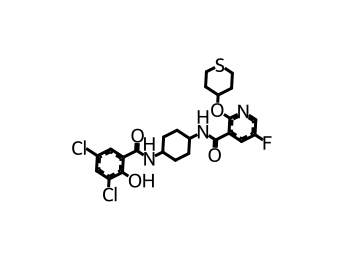 O=C(NC1CCC(NC(=O)c2cc(Cl)cc(Cl)c2O)CC1)c1cc(F)cnc1OC1CCSCC1